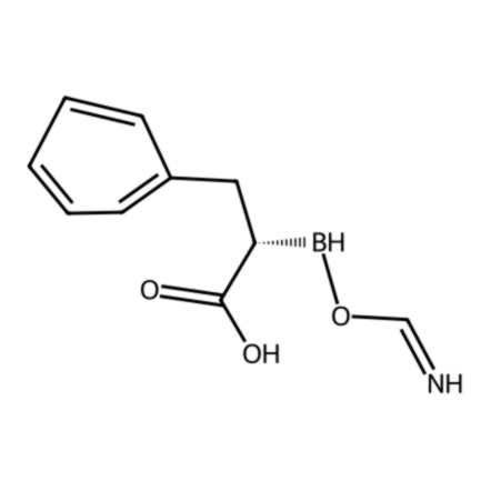 N=COB[C@@H](Cc1ccccc1)C(=O)O